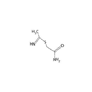 CC(=N)SCC(N)=O